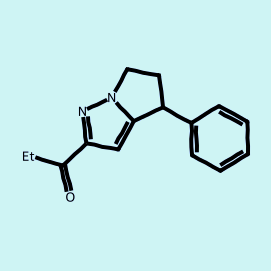 CCC(=O)c1cc2n(n1)CCC2c1ccccc1